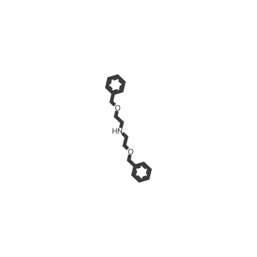 c1ccc(COCCNCCOCc2ccccc2)cc1